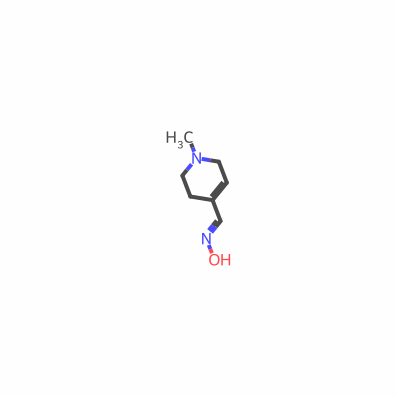 CN1CC=C(C=NO)CC1